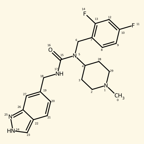 CN1CCC(N(Cc2ccc(F)cc2F)C(=O)NCc2ccc3c[nH]nc3c2)CC1